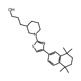 CC1(C)CCC(C)(C)c2cc(-c3csc(N4CCCC(CCCO)C4)n3)ccc21